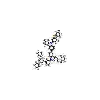 c1ccc(-c2cc(-c3ccccc3)cc(-c3cccc(-n4c5ccc(-c6ccccc6)cc5c5cc(-c6ccc7c(c6)c6ccccc6n7-c6ccc7c(c6)sc6ccccc67)ccc54)c3)c2)cc1